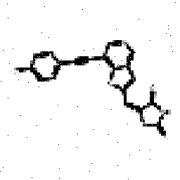 O=C1NC(=S)S/C1=C/c1cc2cncc(C#Cc3ccc(O)cc3)c2o1